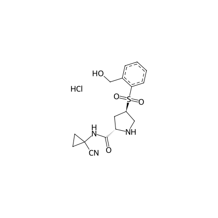 Cl.N#CC1(NC(=O)[C@@H]2C[C@@H](S(=O)(=O)c3ccccc3CO)CN2)CC1